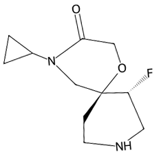 O=C1CO[C@@]2(CCNC[C@H]2F)CN1C1CC1